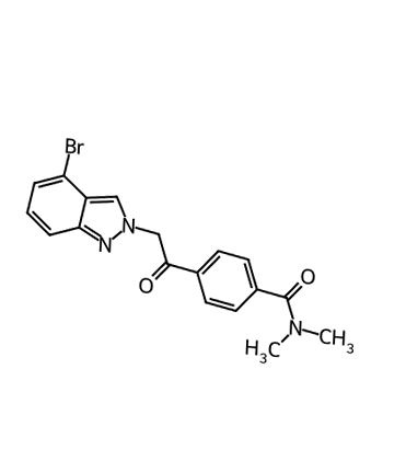 CN(C)C(=O)c1ccc(C(=O)Cn2cc3c(Br)cccc3n2)cc1